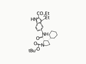 CCOC(=O)c1[nH]c2ccc(NC(=O)[C@@H]3[C@H](C4CCCCC4)CCN3C(=O)OC(C)(C)C)cc2c1CC